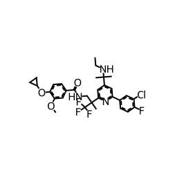 CCNC(C)(C)c1cc(-c2ccc(F)c(Cl)c2)nc(C(C)(CNC(=O)c2ccc(OC3CC3)c(OC)c2)C(F)(F)F)c1